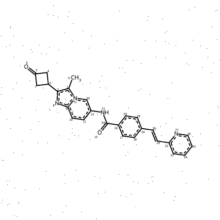 Cc1c(C2CC(=O)C2)nc2ccc(NC(=O)c3ccc(C=Cc4ccccn4)cc3)cn12